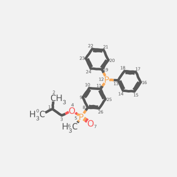 CC(C)COP(C)(=O)c1ccc(P(c2ccccc2)c2ccccc2)cc1